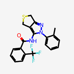 Cc1ccccc1-n1nc2c(c1NC(=O)c1ccccc1C(F)(F)F)CSC2